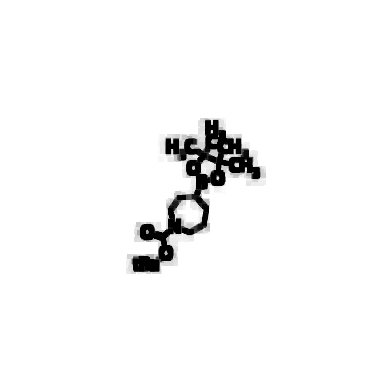 CC(C)(C)OC(=O)N1CCCC(B2OC(C)(C)C(C)(C)O2)CC1